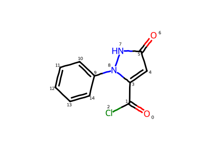 O=C(Cl)c1cc(=O)[nH]n1-c1ccccc1